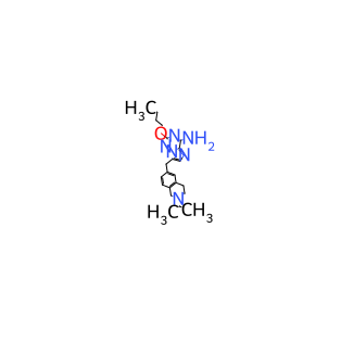 CCCCOc1nc(N)c2ncc(Cc3ccc4c(c3)CCN(C(C)C)C4)n2n1